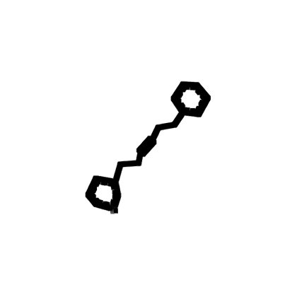 C(#CCCc1cccnc1)CCc1ccccc1